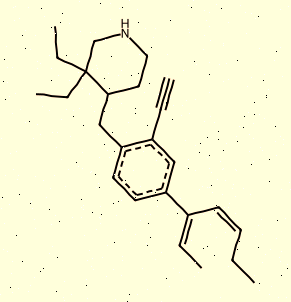 C#Cc1cc(C(/C=C\CC)=C/C)ccc1CC1CCNCC1(CC)CC